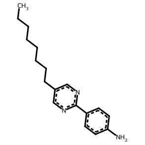 CCCCCCCCc1cnc(-c2ccc(N)cc2)nc1